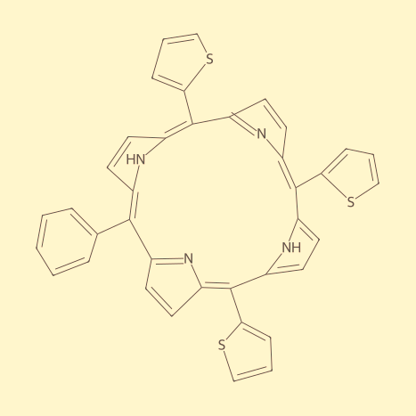 C1=Cc2nc1c(-c1ccccc1)c1ccc([nH]1)c(-c1cccs1)c1nc(c(-c3cccs3)c3ccc([nH]3)c2-c2cccs2)C=C1